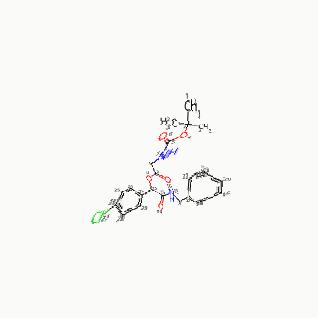 CC(C)(C)OC(=O)NCC(=O)OC(C(=O)NCc1ccccc1)c1ccc(Cl)cc1